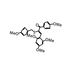 COc1ccc(CS/C(=C\c2c(OC)cc(OC)cc2OC)C(=O)c2ccc(OC)cc2)cc1